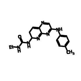 CCNC(=O)NC1CC=c2ncc(Nc3ccc(C)cc3)nc2=N1